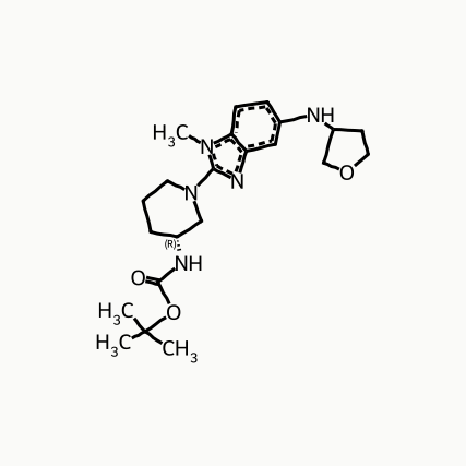 Cn1c(N2CCC[C@@H](NC(=O)OC(C)(C)C)C2)nc2cc(NC3CCOC3)ccc21